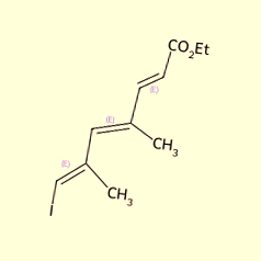 CCOC(=O)/C=C/C(C)=C/C(C)=C/I